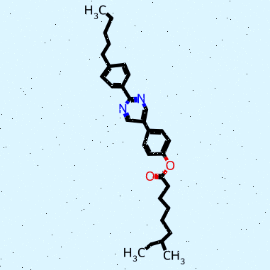 CCCCCc1ccc(-c2ncc(-c3ccc(OC(=O)CCCCCC(C)CC)cc3)cn2)cc1